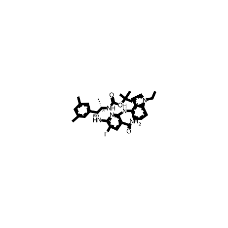 CCn1ccc2c(Nc3nc(N[C@H](c4cc(C)cc(C)c4)[C@H](C)NC(=O)OC(C)(C)C)c(F)cc3C(N)=O)cccc21